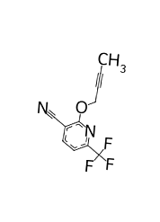 CC#CCOc1nc(C(F)(F)F)ccc1C#N